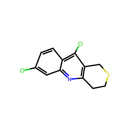 Clc1ccc2c(Cl)c3c(nc2c1)CCSC3